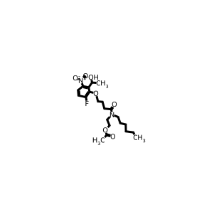 CCCCCCN(CCOC(C)=O)C(=O)CCCOc1c(F)ccc([N+](=O)[O-])c1C(C)O